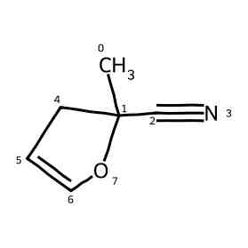 CC1(C#N)CC=CO1